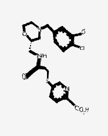 O=C(CSc1ccc(C(=O)O)nc1)NC[C@H]1CN(Cc2ccc(Cl)c(Cl)c2)CCO1